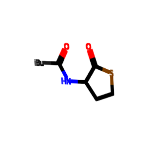 CCC(C)C(=O)NC1CCSC1=O